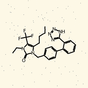 CCCCc1c(C(F)(F)F)n(CC)c(=O)n1Cc1ccc(-c2ccccc2-c2nnn[nH]2)cc1